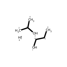 CC(C)O.CCCO.[Hf]